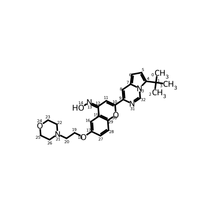 CC(C)(C)c1ccc2cc(-c3c/c(=N/O)c4cc(OCCN5CCOCC5)ccc4o3)ncn12